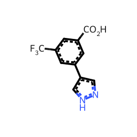 O=C(O)c1cc(-c2cn[nH]c2)cc(C(F)(F)F)c1